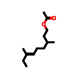 CCC(C)=CCCC(C)CCOC(C)=O